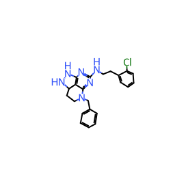 Clc1ccccc1CCNc1nc2c3c(n1)N(Cc1ccccc1)CCC3NN2